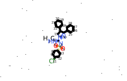 CN/C(=N\S(=O)(=O)c1ccc(Cl)cc1)N1CC(c2ccccc2)C(c2ccccc2)=N1